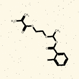 C=C(C)C(=O)OCCOC(C)OC(=O)c1ccccc1I